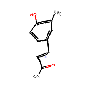 COc1cc(/C=C/C(=O)N=O)ccc1O